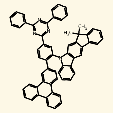 CC1(C)c2ccccc2-c2cc3c4ccccc4n(-c4cc(-c5nc(-c6ccccc6)nc(-c6ccccc6)n5)ccc4-c4ccc5c6ccccc6c6ccccc6c5c4)c3cc21